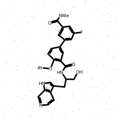 CNC(=O)c1cc(F)cc(-c2ccc(OC(C)C)c(C(=O)NC(CO)Cc3c[nH]c4cnccc34)c2)c1